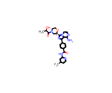 CC(O)C(=O)N1CCO[C@@H](c2nc(-c3ccc(C(=O)Nc4cc(C(F)(F)F)ccn4)cc3)c3c(N)nccn23)C1